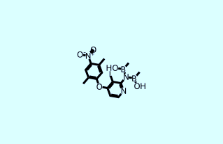 CB(O)N(B(C)O)c1nccc(Oc2cc(C)c([N+](=O)[O-])cc2C)c1I